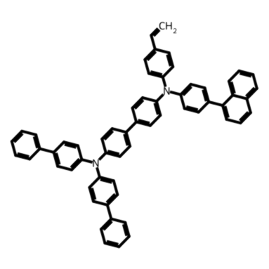 C=Cc1ccc(N(c2ccc(-c3ccc(N(c4ccc(-c5ccccc5)cc4)c4ccc(-c5ccccc5)cc4)cc3)cc2)c2ccc(-c3cccc4ccccc34)cc2)cc1